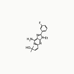 CCn1c(-c2cccc(F)c2)nc2c(N)nc(/C=C\C(C)(C)O)nc21